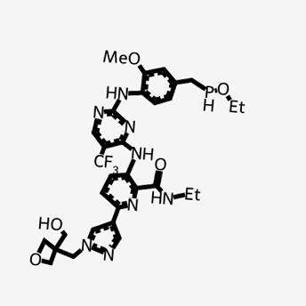 CCNC(=O)c1nc(-c2cnn(CC3(CO)COC3)c2)ccc1Nc1nc(Nc2ccc(CPOCC)cc2OC)ncc1C(F)(F)F